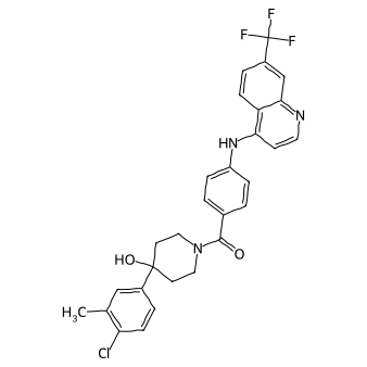 Cc1cc(C2(O)CCN(C(=O)c3ccc(Nc4ccnc5cc(C(F)(F)F)ccc45)cc3)CC2)ccc1Cl